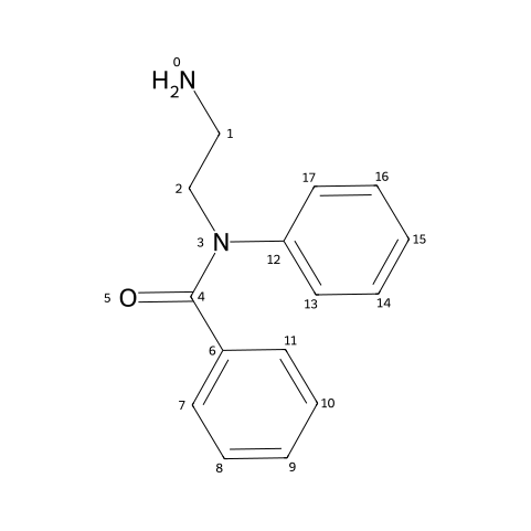 NCCN(C(=O)c1ccccc1)c1ccccc1